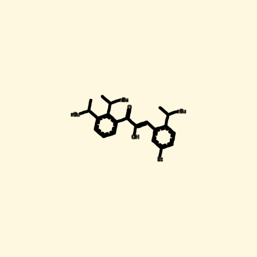 CCCCC(C)c1ccc(CC)cc1C=C(O)C(=O)c1cccc(C(C)CCCC)c1C(C)CCCC